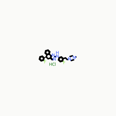 CN1CCN(CCc2cc(Nc3ncc4c(n3)-c3ccccc3[C@H](c3ccccc3F)C4)ccc2F)CC1.Cl